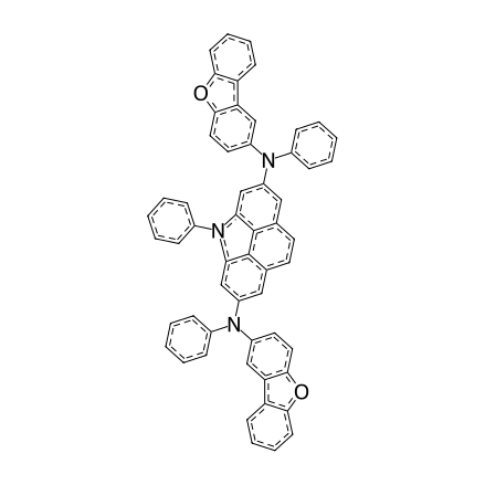 c1ccc(N(c2ccc3oc4ccccc4c3c2)c2cc3ccc4cc(N(c5ccccc5)c5ccc6oc7ccccc7c6c5)cc5c4c3c(c2)n5-c2ccccc2)cc1